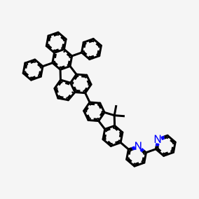 CC1(C)c2cc(-c3cccc(-c4ccccn4)n3)ccc2-c2ccc(-c3ccc4c5c(cccc35)-c3c-4c(-c4ccccc4)c4ccccc4c3-c3ccccc3)cc21